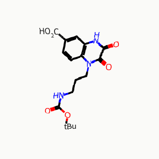 CC(C)(C)OC(=O)NCCCn1c(=O)c(=O)[nH]c2cc(C(=O)O)ccc21